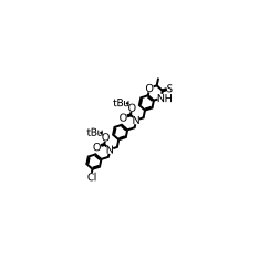 CC1Oc2ccc(CN(Cc3cccc(CN(Cc4cccc(Cl)c4)C(=O)OC(C)(C)C)c3)C(=O)OC(C)(C)C)cc2NC1=S